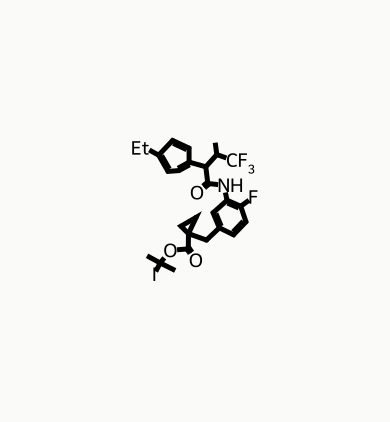 CCc1ccc(C(C(=O)Nc2cc(CC3(C(=O)OC(C)(C)I)CC3)ccc2F)C(C)C(F)(F)F)cc1